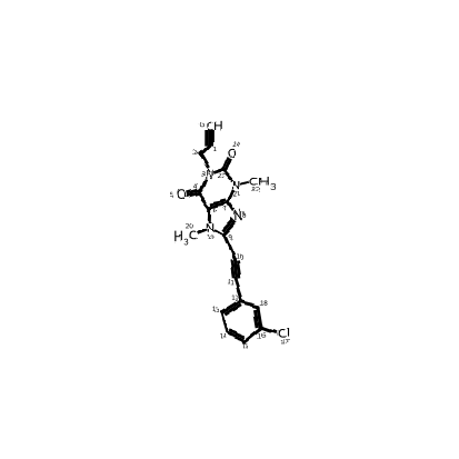 C#CCn1c(=O)c2c(nc(C#Cc3cccc(Cl)c3)n2C)n(C)c1=O